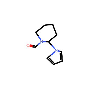 O=[C]N1CCCCC1n1cccc1